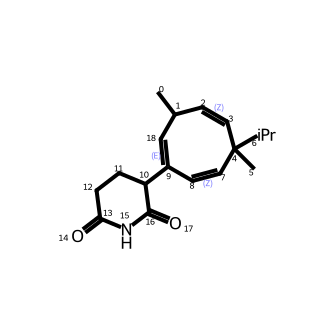 CC1/C=C\C(C)(C(C)C)/C=C\C(C2CCC(=O)NC2=O)=C/1